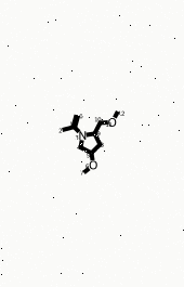 C=C(C)N1CC(OC)CC1COC